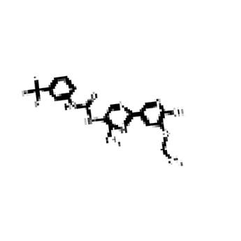 CCOc1cc(-c2ncc(NC(=O)Nc3cccc(C(F)(F)F)c3)c(C)n2)cnc1C